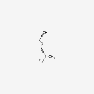 C#CCOCC#CC(C)C